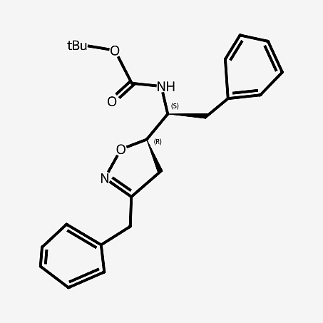 CC(C)(C)OC(=O)N[C@@H](Cc1ccccc1)[C@H]1CC(Cc2ccccc2)=NO1